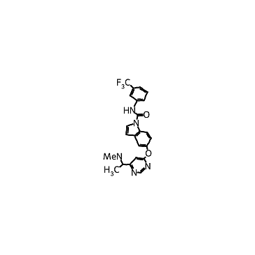 CNC(C)c1cc(Oc2ccc3c(ccn3C(=O)Nc3cccc(C(F)(F)F)c3)c2)ncn1